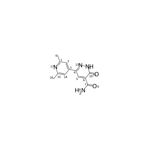 Cc1cc(-c2cc(C(N)=O)c(=O)[nH]n2)cc(C)n1